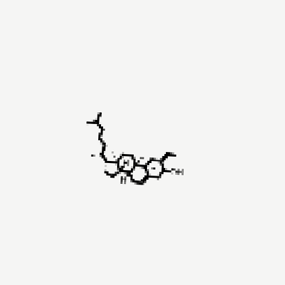 CC=C1C[C@@]2(C)C(=CC[C@H]3[C@@H]4CC[C@H]([C@H](C)CCCC(C)C)[C@@]4(C)CC[C@@H]32)CC1O